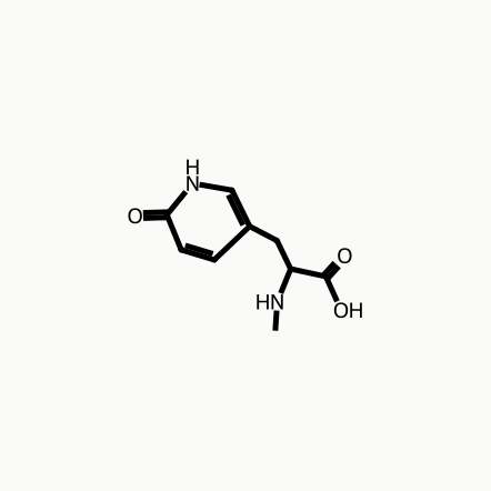 CNC(Cc1ccc(=O)[nH]c1)C(=O)O